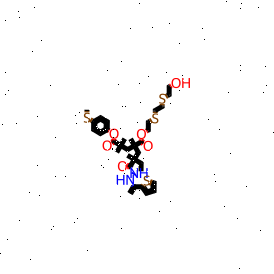 C=C(NNC(=O)C(C)(CC)CC(C)(CC(C)(C)C(=O)Oc1ccc(SC)cc1)C(=O)OCCSCCSCCO)c1cccs1